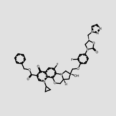 O=C(OCc1ccccc1)c1cn(C2CC2)c2c3c(c(F)cc2c1=O)N1C[C@](O)(COc2ccc(N4C[C@@H](Cn5ccnn5)OC4=O)cc2F)C[C@@H]1CO3